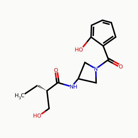 CC[C@@H](CO)C(=O)NC1CN(C(=O)c2ccccc2O)C1